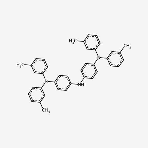 Cc1cccc(N(c2ccc(Nc3ccc(N(c4cccc(C)c4)c4cccc(C)c4)cc3)cc2)c2cccc(C)c2)c1